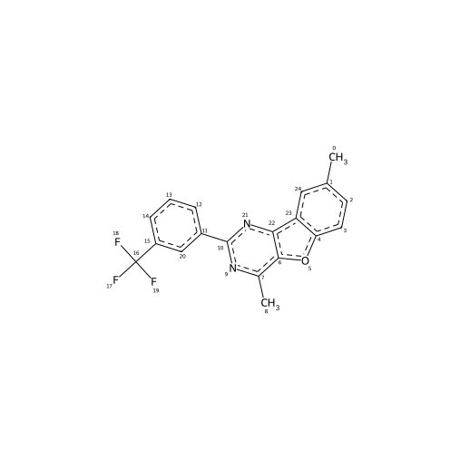 Cc1ccc2oc3c(C)nc(-c4cccc(C(F)(F)F)c4)nc3c2c1